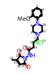 COc1ccccc1N1CCN(CCCC(=O)NN2C(=O)C=C(C)C2=O)CC1.Cl